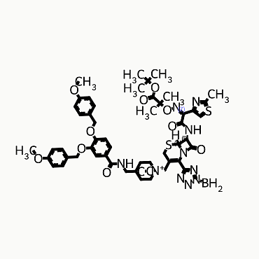 Bn1nnc(C2=C(C[N+]34CCC(CNC(=O)c5ccc(OCc6ccc(OC)cc6)c(OCc6ccc(OC)cc6)c5)(CC3)CC4)CS[C@@H]3[C@H](NC(=O)/C(=N\OC(C)(C)C(=O)OC(C)(C)C)c4csc(C)n4)C(=O)N23)n1